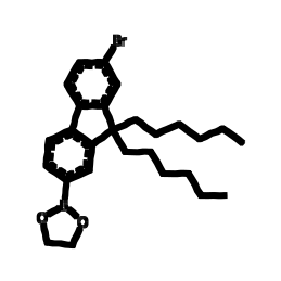 CCCCCCC1(CCCCCC)c2cc(Br)ccc2-c2ccc(B3OCCO3)cc21